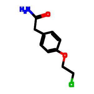 NC(=O)Cc1ccc(OCCCl)cc1